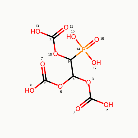 O=C(O)OC(OC(=O)O)C(OC(=O)O)P(=O)(O)O